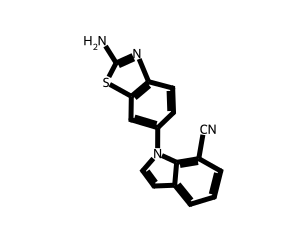 N#Cc1cccc2ccn(-c3ccc4nc(N)sc4c3)c12